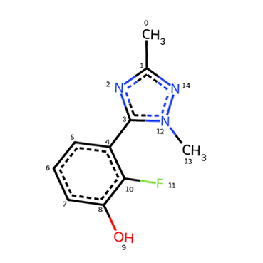 Cc1nc(-c2cccc(O)c2F)n(C)n1